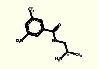 C[C@@H](N)CNC(=O)c1cc([N+](=O)[O-])cc(C(F)(F)F)c1